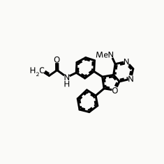 C=CC(=O)Nc1cccc(-c2c(-c3ccccc3)oc3ncnc(NC)c23)c1